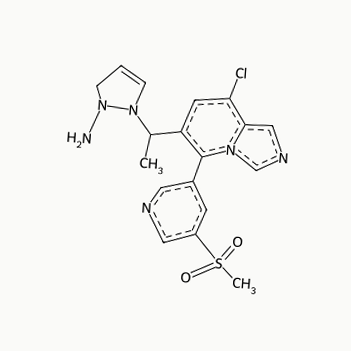 CC(c1cc(Cl)c2cncn2c1-c1cncc(S(C)(=O)=O)c1)N1C=CCN1N